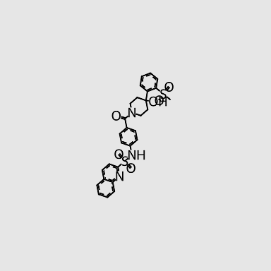 CS(=O)(=O)c1ccccc1C1(O)CCN(C(=O)c2ccc(NS(=O)(=O)c3ccc4ccccc4n3)cc2)CC1